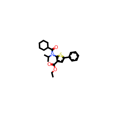 CCOC(=O)c1cc(-c2ccccc2)sc1N(C(=O)C1CCCCC1)C(C)C